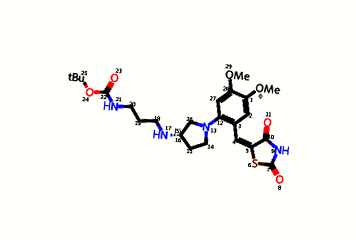 COc1cc(C=C2SC(=O)NC2=O)c(N2CC[C@H](NCCCNC(=O)OC(C)(C)C)C2)cc1OC